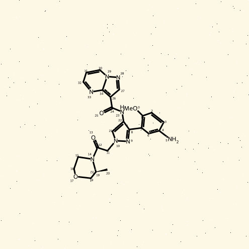 COc1ccc(N)cc1-c1nn(CC(=O)N2CCOC[C@@H]2C)cc1NC(=O)c1cnn2cccnc12